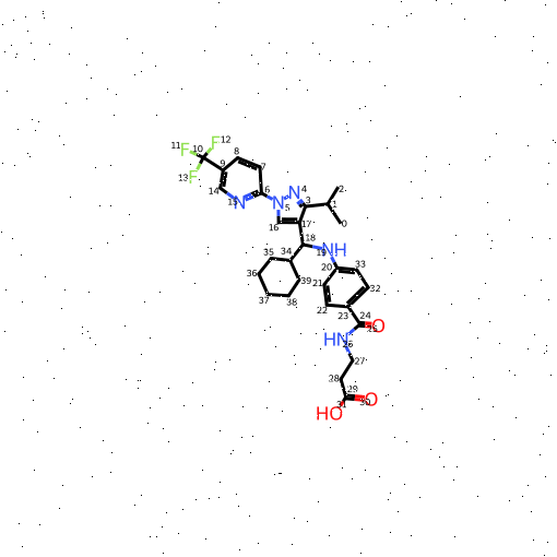 CC(C)c1nn(-c2ccc(C(F)(F)F)cn2)cc1C(Nc1ccc(C(=O)NCCC(=O)O)cc1)C1CCCCC1